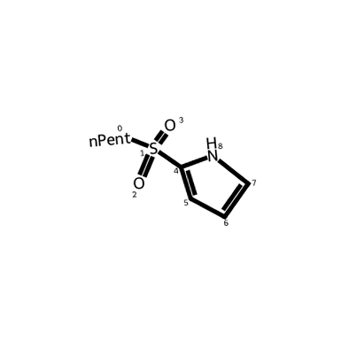 CCCCCS(=O)(=O)c1ccc[nH]1